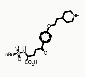 CCCCS(=O)(=O)N[C@@H](CCC(=O)c1ccc(OCCC2CCNCC2)cc1)C(=O)O